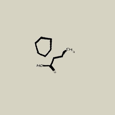 C1CCCCC1.CCCC(=O)O